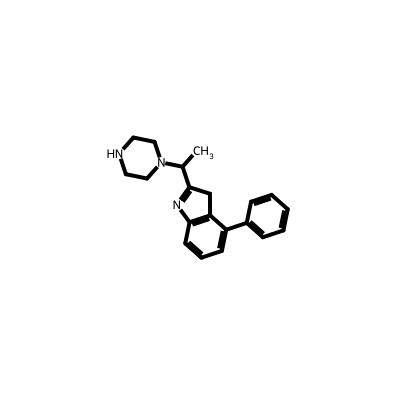 CC(C1=Nc2cccc(-c3ccccc3)c2C1)N1CCNCC1